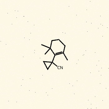 CC1=C(C2(C#N)CC2)C(C)(C)CCC1